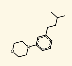 CC(C)CCc1cccc(N2CCOCC2)c1